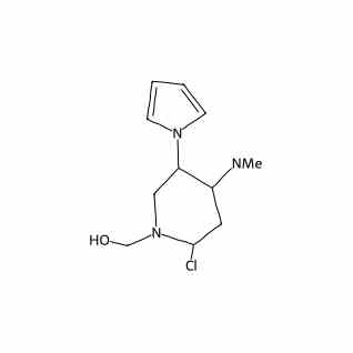 CNC1CC(Cl)N(CO)CC1n1cccc1